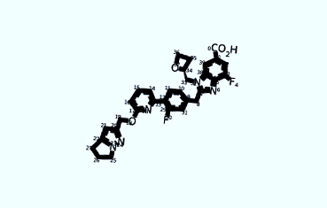 O=C(O)c1cc(F)c2nc(Cc3ccc(-c4cccc(OCc5cc6n(n5)CCC6)n4)c(F)c3)n(C[C@@H]3CCO3)c2c1